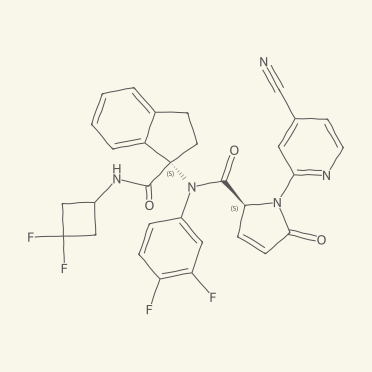 N#Cc1ccnc(N2C(=O)C=C[C@H]2C(=O)N(c2ccc(F)c(F)c2)[C@@]2(C(=O)NC3CC(F)(F)C3)CCc3ccccc32)c1